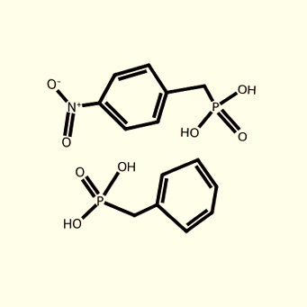 O=P(O)(O)Cc1ccccc1.O=[N+]([O-])c1ccc(CP(=O)(O)O)cc1